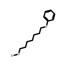 CCOCCCCCCCOc1cc[c]cc1